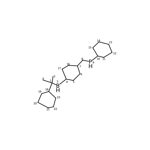 CC(C)(BC1CCC(CPC2CCCCC2)CC1)C1CCCCC1